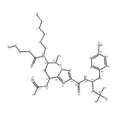 CCCCCCN(C(=O)CCCC)C(CC(OC(C)=O)c1nc(C(=O)NC(Cc2ccc(O)cc2)CC(C)(C)C)cs1)C(C)C